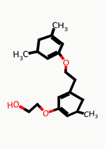 CC1=CC(OCCC2=CC(OCCO)=CC(C)C2)=CC(C)C1